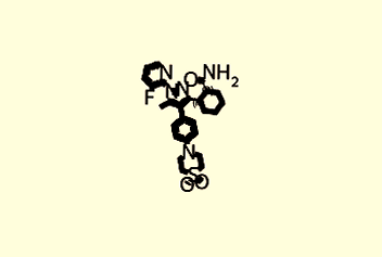 Cc1c(-c2ccc(N3CCS(=O)(=O)CC3)cc2)c([C@@H]2CCCC[C@H]2C(N)=O)nn1-c1ncccc1F